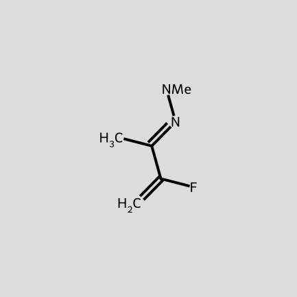 C=C(F)/C(C)=N/NC